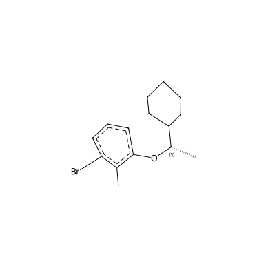 Cc1c(Br)cccc1O[C@@H](C)C1CCCCC1